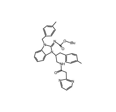 Cc1ccc(CC(CNC(=O)Cc2ncccn2)n2c(=NC(=O)OC(C)(C)C)n(Cc3ccc(C)cc3)c3ccccc32)cc1